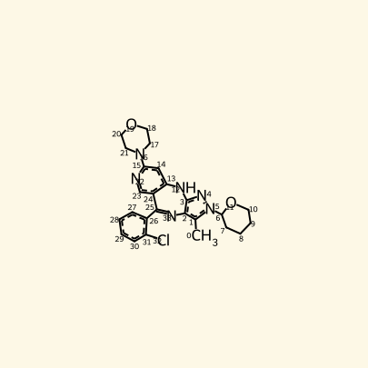 Cc1c2c(nn1C1CCCCO1)Nc1cc(N3CCOCC3)ncc1C(c1ccccc1Cl)=N2